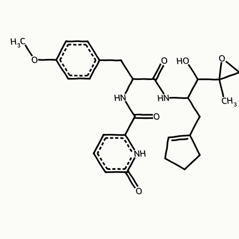 COc1ccc(CC(NC(=O)c2cccc(=O)[nH]2)C(=O)NC(CC2=CCCC2)C(O)C2(C)CO2)cc1